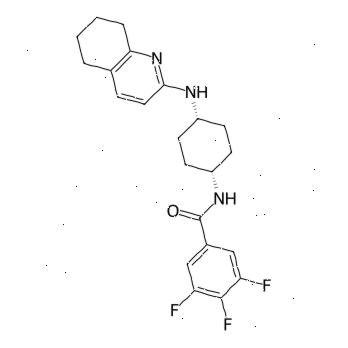 O=C(N[C@H]1CC[C@@H](Nc2ccc3c(n2)CCCC3)CC1)c1cc(F)c(F)c(F)c1